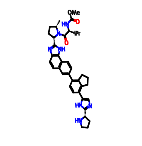 COC(=O)N[C@H](C(=O)N1[C@@H](C)CC[C@H]1c1nc2ccc3cc(-c4ccc(-c5cnc([C@@H]6CCCN6)[nH]5)c5c4CCC5)ccc3c2[nH]1)C(C)C